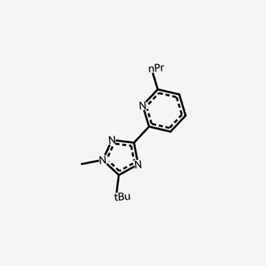 CCCc1cccc(-c2nc(C(C)(C)C)n(C)n2)n1